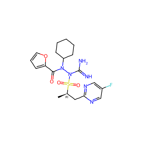 C[C@H](Cc1ncc(F)cn1)S(=O)(=O)N(C(=N)N)N(C(=O)c1ccco1)C1CCCCC1